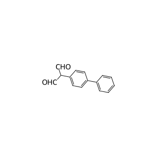 O=CC(C=O)c1ccc(-c2ccccc2)cc1